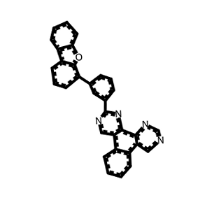 c1cc(-c2ncc3c4ccccc4c4cncnc4c3n2)cc(-c2cccc3c2oc2ccccc23)c1